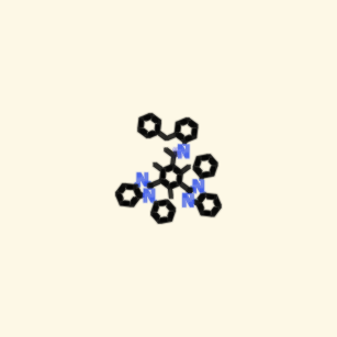 C/C(=N\c1ccccc1Cc1ccccc1)c1c(C)c(-c2nc3ccccc3n2-c2ccccc2)c(C)c(-c2nc3ccccc3n2-c2ccccc2)c1C